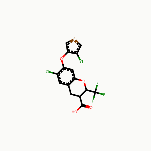 O=C(O)C1Cc2cc(Cl)c(Oc3cscc3Cl)cc2OC1C(F)(F)F